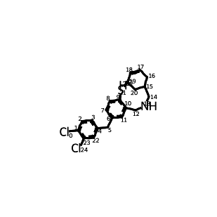 Clc1ccc(Cc2ccc3c(c2)CNCC2CC=C[C@H](C2)S3)cc1Cl